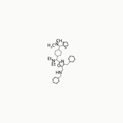 CCN(CC)C(c1nc(Cc2ccccc2)c(CNCc2ccccc2)o1)C1CCC(C(c2cccs2)N(C)C)CC1